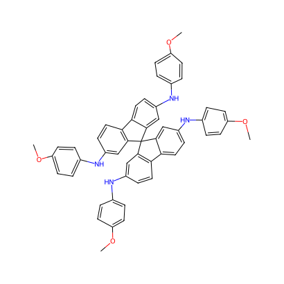 COc1ccc(Nc2ccc3c(c2)C2(c4cc(Nc5ccc(OC)cc5)ccc4-3)c3cc(Nc4ccc(OC)cc4)ccc3-c3ccc(Nc4ccc(OC)cc4)cc32)cc1